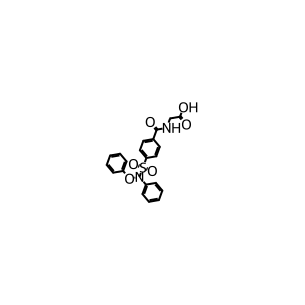 O=C(O)CNC(=O)c1ccc(S(=O)(=O)N(Oc2ccccc2)c2ccccc2)cc1